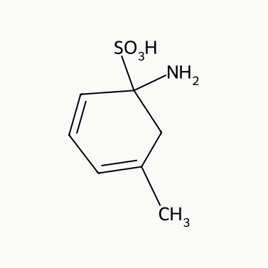 CC1=CC=CC(N)(S(=O)(=O)O)C1